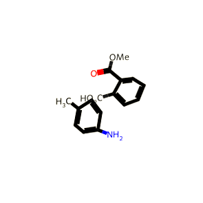 COC(=O)c1ccccc1C(=O)O.Cc1ccc(N)cc1